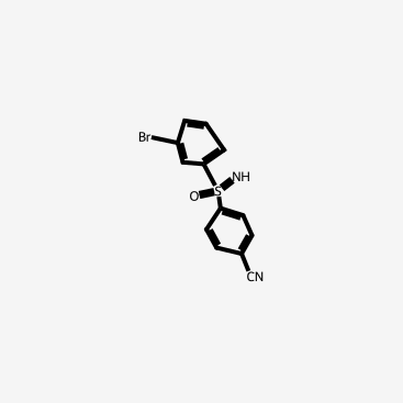 N#Cc1ccc(S(=N)(=O)c2cccc(Br)c2)cc1